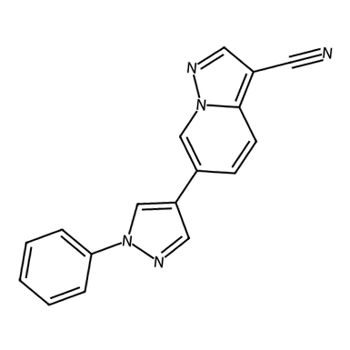 N#Cc1cnn2cc(-c3cnn(-c4ccccc4)c3)ccc12